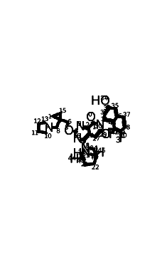 O=c1c2nc(OCC3(CN4CCCC4)CC3)nc(N3C[C@H]4CC[C@@H](C3)N4)c2cc(C(F)(F)F)n1-c1cc(O)cc2ccc(F)c(F)c12